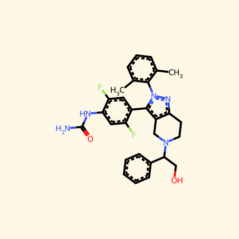 Cc1cccc(C)c1-n1nc2c(c1-c1cc(F)c(NC(N)=O)cc1F)CN(C(CO)c1ccccc1)CC2